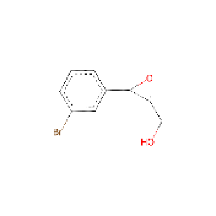 OCC1OC1c1cccc(Br)c1